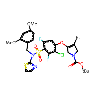 CCC1=C(Oc2cc(F)c(S(=O)(=O)N(Cc3ccc(OC)cc3OC)c3nccs3)c(F)c2Cl)CN(C(=O)OC(C)(C)C)C1